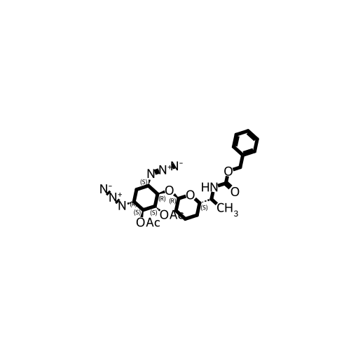 CC(=O)O[C@@H]1[C@@H](OC(C)=O)[C@H](N=[N+]=[N-])C[C@H](N=[N+]=[N-])[C@H]1O[C@@H]1CCC[C@@H](C(C)NC(=O)OCc2ccccc2)O1